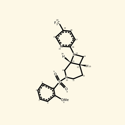 COc1ccccc1S(=O)(=O)N1CC[C@H]2CN(c3ccc(C(F)(F)F)cn3)[C@H]2C1